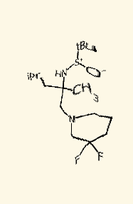 CC(C)CC(C)(CN1CCCC(F)(F)C1)N[S+]([O-])C(C)(C)C